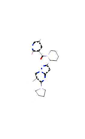 Cc1cn2nc([C@@H]3CCCCN3C(=O)c3cc(Cl)cnc3O)cc2nc1N1CC[C@H](C)C1